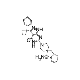 N[C@@H]1c2ccccc2CC12CCN(c1nc3[nH]nc(C4(c5ccccc5)CCC4)c3c(=O)[nH]1)CC2